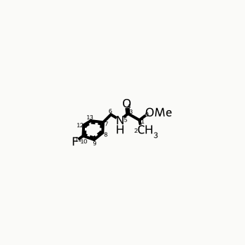 COC(C)C(=O)NCc1ccc(F)cc1